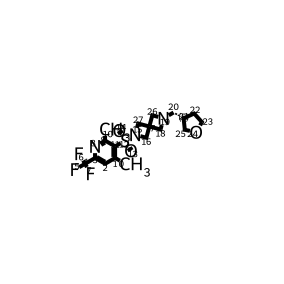 Cc1cc(C(F)(F)F)nc(C)c1S(=O)(=O)N1CC2(CN(C[C@@H]3CCOC3)C2)C1